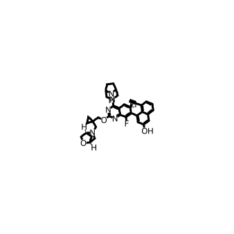 C#Cc1cccc2cc(O)cc(-c3c(Cl)cc4c(N5CC6CCC(C5)N6)nc(OCC5(CN6C[C@@H]7C[C@H]6CO7)CC5)nc4c3F)c12